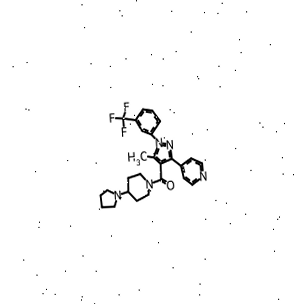 Cc1c(C(=O)N2CCC(N3CCCC3)CC2)c(-c2ccncc2)nn1-c1cccc(C(F)(F)F)c1